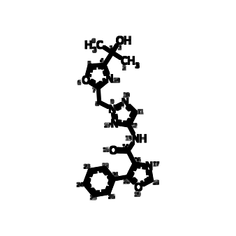 CC(C)(O)c1coc(Cn2ncc(NC(=O)c3ncoc3-c3ccccc3)n2)n1